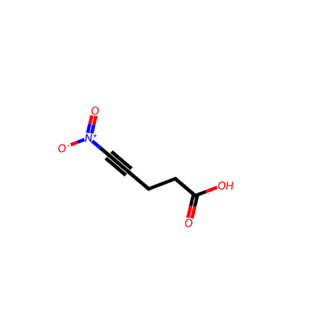 O=C(O)CCC#C[N+](=O)[O-]